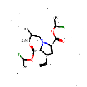 C=C[C@@H]1C[C@H](C(=O)OC(F)CCC)N(CC(CC)NC(C)=O)[C@H]1C(=O)OC(F)CCC